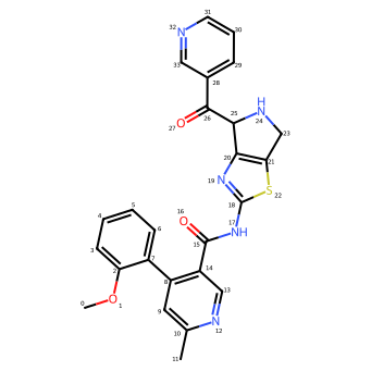 COc1ccccc1-c1cc(C)ncc1C(=O)Nc1nc2c(s1)CNC2C(=O)c1cccnc1